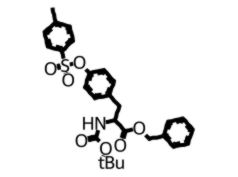 Cc1ccc(S(=O)(=O)Oc2ccc(CC(NC(=O)OC(C)(C)C)C(=O)OCc3ccccc3)cc2)cc1